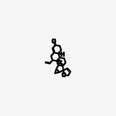 C=CC1CC2=CC(=O)CC[C@@H]2C2CC[C@@]3(CC)C(C4CC4[C@@]34C=CCO4)C12